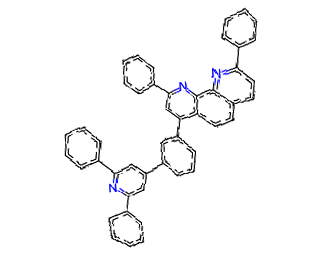 c1ccc(-c2cc(-c3cccc(-c4cc(-c5ccccc5)nc5c4ccc4ccc(-c6ccccc6)nc45)c3)cc(-c3ccccc3)n2)cc1